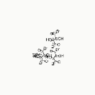 O=C([O-])C(O)C(O)C(=O)[O-].O=C([O-])C(O)C(O)C(=O)[O-].O=C([O-])C(O)C(O)C(=O)[O-].[Tb+3].[Tb+3]